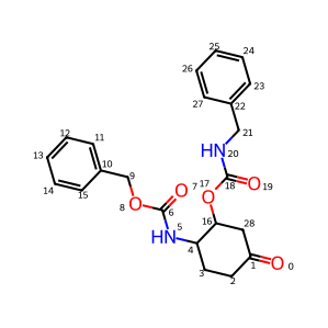 O=C1CCC(NC(=O)OCc2ccccc2)C(OC(=O)NCc2ccccc2)C1